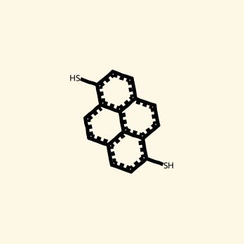 Sc1ccc2ccc3c(S)ccc4ccc1c2c43